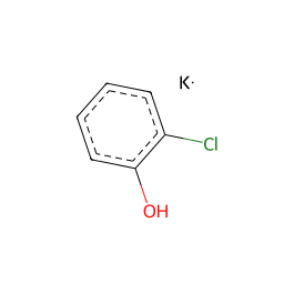 Oc1ccccc1Cl.[K]